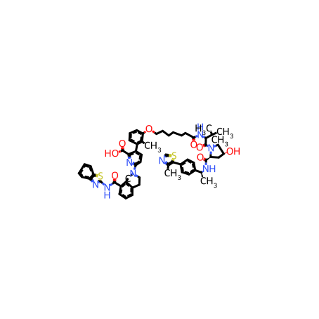 Cc1ncsc1-c1ccc([C@H](C)NC(=O)[C@@H]2C[C@@H](O)CN2C(=O)C(NC(=O)CCCCCCOc2cccc(-c3ccc(N4CCc5cccc(C(=O)Nc6nc7ccccc7s6)c5C4)nc3C(=O)O)c2C)C(C)(C)C)cc1